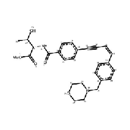 COC(=O)[C@@H](NC(=O)c1ccc(C#C/C=C\c2ccc(CN3CCOCC3)cc2)cc1)[C@@H](C)O